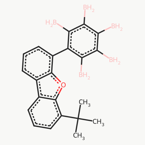 Bc1c(B)c(B)c(-c2cccc3c2oc2c(C(C)(C)C)cccc23)c(B)c1B